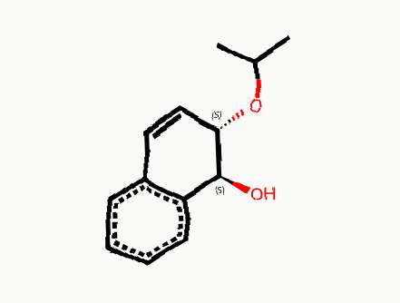 CC(C)O[C@H]1C=Cc2ccccc2[C@@H]1O